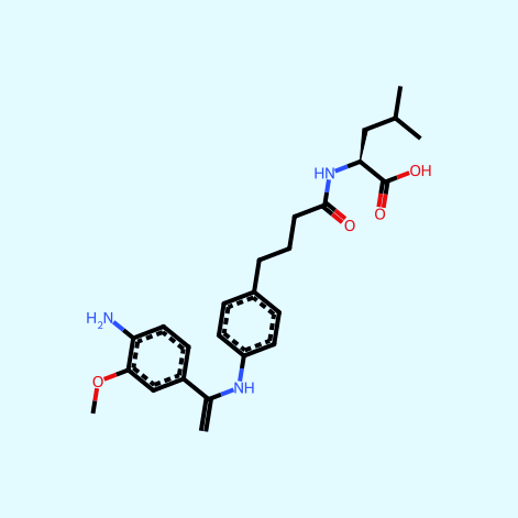 C=C(Nc1ccc(CCCC(=O)N[C@@H](CC(C)C)C(=O)O)cc1)c1ccc(N)c(OC)c1